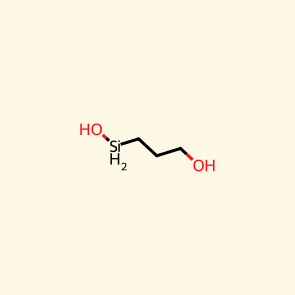 OCCC[SiH2]O